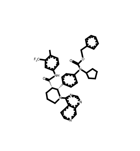 Cc1ccc(NC(=O)[C@H]2CCCN(c3ncnc4cnccc34)[C@H]2c2ccc(N(C(=O)OCc3ccccc3)C3CCCC3)cc2)cc1C(F)(F)F